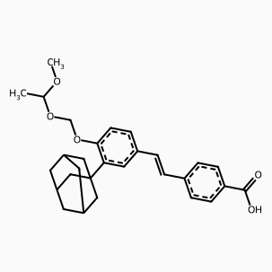 COC(C)OCOc1ccc(C=Cc2ccc(C(=O)O)cc2)cc1C12CC3CC(CC(C3)C1)C2